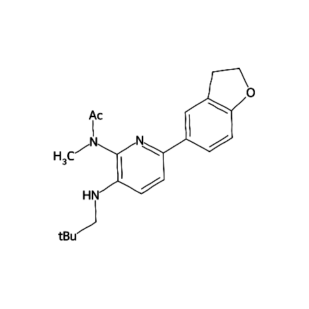 CC(=O)N(C)c1nc(-c2ccc3c(c2)CCO3)ccc1NCC(C)(C)C